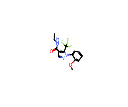 CCNC(=O)c1cnn(-c2ccccc2OC)c1C(F)(F)F